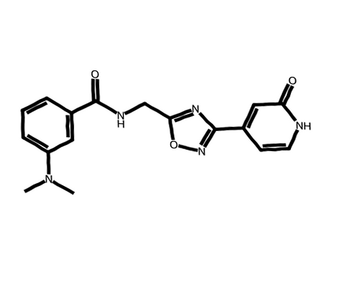 CN(C)c1cccc(C(=O)NCc2nc(-c3cc[nH]c(=O)c3)no2)c1